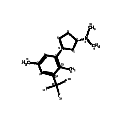 Cc1cc(N2CC[C@H](N(C)C)C2)c(C)c(C(F)(F)F)c1